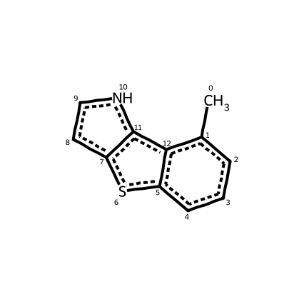 Cc1cccc2sc3cc[nH]c3c12